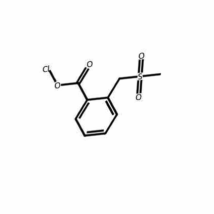 CS(=O)(=O)Cc1ccccc1C(=O)OCl